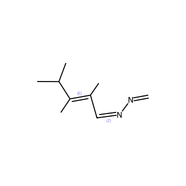 C=N/N=C\C(C)=C(/C)C(C)C